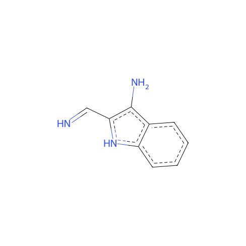 N=Cc1[nH]c2ccccc2c1N